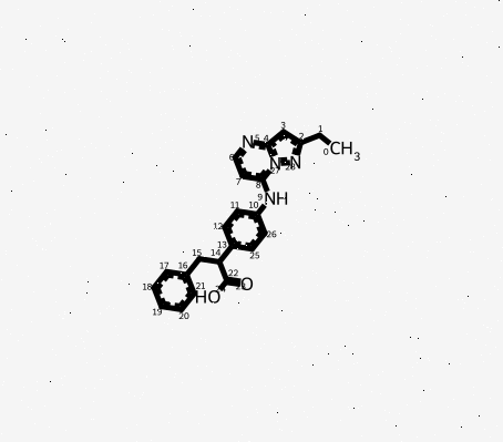 CCc1cc2nccc(Nc3ccc(C(Cc4ccccc4)C(=O)O)cc3)n2n1